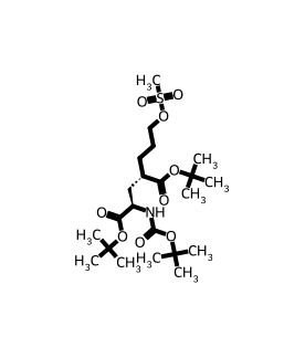 CC(C)(C)OC(=O)N[C@H](C[C@H](CCCOS(C)(=O)=O)C(=O)OC(C)(C)C)C(=O)OC(C)(C)C